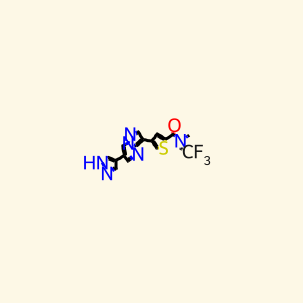 CN(CC(F)(F)F)C(=O)c1cc(-c2cnn3cc(-c4cn[nH]c4)cnc23)cs1